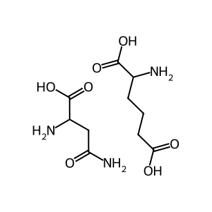 NC(=O)CC(N)C(=O)O.NC(CCCC(=O)O)C(=O)O